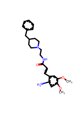 COc1cc(N)c(/C=C/C(=O)NCCN2CCC(Cc3ccccc3)CC2)cc1OC